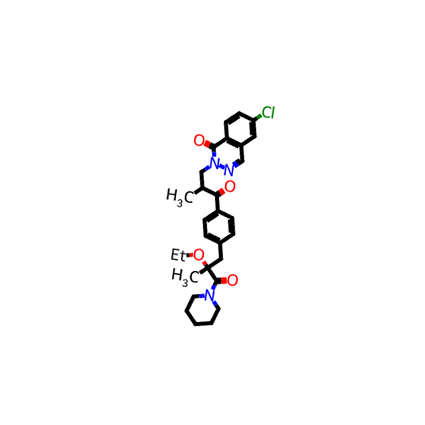 CCOC(C)(Cc1ccc(C(=O)C(C)Cn2ncc3cc(Cl)ccc3c2=O)cc1)C(=O)N1CCCCC1